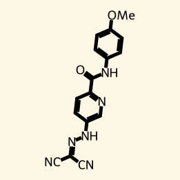 COc1ccc(NC(=O)c2ccc(NN=C(C#N)C#N)cn2)cc1